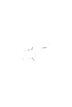 CC=CCC(C(=O)O)C(=O)O